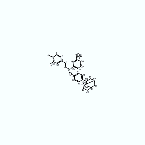 Cc1ccc(CCC(Oc2ccc(C34CC5CC(CC(C5)C3)C4)cc2)c2cccc(C(C)(C)C)c2)cc1C